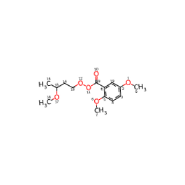 COc1ccc(OC)c(C(=O)OO[CH]CC(C)OC)c1